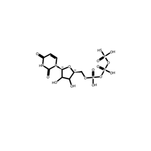 O=c1ccn([C@H]2O[C@@H](COP(=O)(O)OP(=O)(O)OP(=O)(O)S)C(O)C2O)c(=O)[nH]1